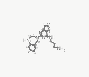 NCCCNc1nc(N2CCNc3ccccc3C2)nc2ccsc12